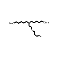 COCCCCCN(CCCCCOC)CCOCCOC